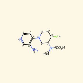 CC(C)(C)N(C(=O)O)[C@@H]1CN(c2ccncc2N)CC[C@H]1F